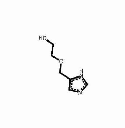 OCCOCc1cnc[nH]1